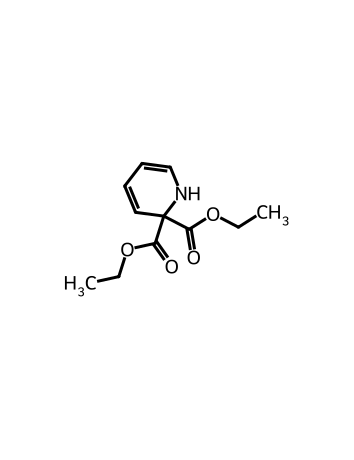 CCOC(=O)C1(C(=O)OCC)C=CC=CN1